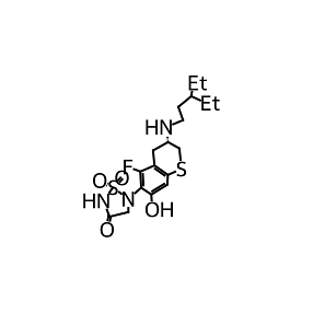 CCC(CC)CCN[C@@H]1CSc2cc(O)c(N3CC(=O)NS3(=O)=O)c(F)c2C1